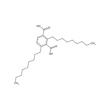 CCCCCCCCCc1ccc(C(=O)O)c(CCCCCCCCC)c1C(=O)O